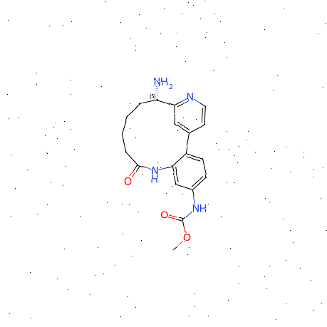 COC(=O)Nc1ccc2c(c1)NC(=O)CCCC[C@H](N)c1cc-2ccn1